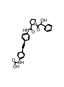 O=C(O)Nc1ccc(C#Cc2ccc(NC(=O)C3CCCN3C(=O)C(O)c3ccccc3)cc2)cc1